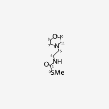 CSC(=O)NCCN1CCOCC1